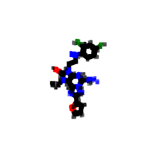 Cn1c(=O)n(CCNc2ccc(F)cc2F)c2nc(N)n3nc(-c4ccco4)nc3c21